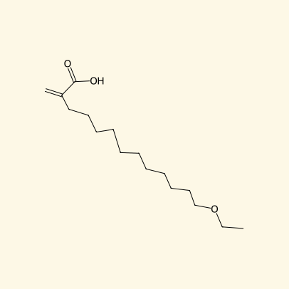 C=C(CCCCCCCCCCCOCC)C(=O)O